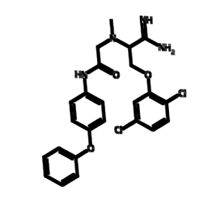 CN(CC(=O)Nc1ccc(Oc2ccccc2)cc1)C(COc1cc(Cl)ccc1Cl)C(=N)N